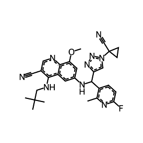 COc1cc(NC(c2cn(C3(C#N)CC3)nn2)c2ccc(F)nc2C)cc2c(NCC(C)(C)C)c(C#N)cnc12